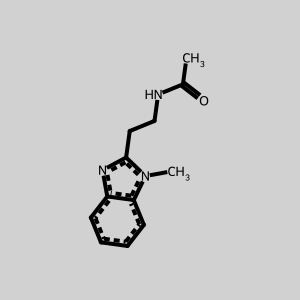 CC(=O)NCCc1nc2ccccc2n1C